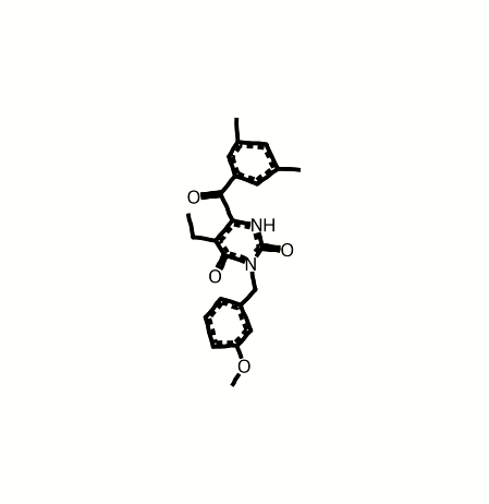 CCc1c(C(=O)c2cc(C)cc(C)c2)[nH]c(=O)n(Cc2cccc(OC)c2)c1=O